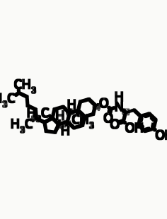 CC(C)CCC[C@@H](C)C1CC[C@H]2[C@@H]3CC=C4C[C@@H](OC(=O)N[C@@H](Cc5ccc(O)cc5)C(=O)O)CCC4(C)[C@H]3CCC12C